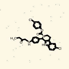 CCC(=O)CNc1ccc(C2c3[nH]c4ccc(Cl)cc4c3CCN2C(=O)Oc2ccc(Cl)cc2)cc1